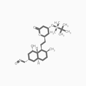 C[C@H]1CC[C@H]2C[C@H](CN=O)C[C@H](O)[C@@H]2[C@H]1CC[C@@H]1C[C@@H](O[Si](C)(C)C(C)(C)C)CC(=O)O1